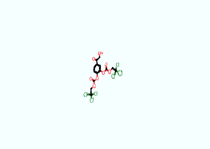 O=C(OCC(Cl)(Cl)Cl)Oc1ccc(C(=O)CO)cc1OC(=O)OCC(Cl)(Cl)Cl